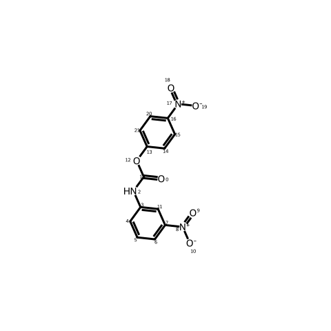 O=C(Nc1cccc([N+](=O)[O-])c1)Oc1ccc([N+](=O)[O-])cc1